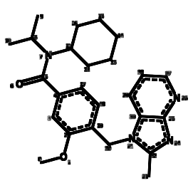 COc1cc(C(=O)N(C(C)C)C2CCCCC2)ccc1Cn1c(C)nc2ncccc21